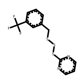 FC(F)(F)c1cccc(CSSSc2ncccn2)c1